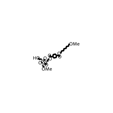 COCCCCCCCCOC(=O)C1CCC(C(=O)OCCn2c(=O)n(CCO)c(=O)n(CCOC)c2=O)CC1